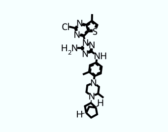 Cc1cc(Nc2nc(N)n(-c3nc(Cl)nc4c(C)csc34)n2)ccc1N1CCN([C@H]2C[C@@H]3CC[C@H]2C3)C(C)C1